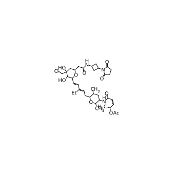 CCC(/C=C/C1O[C@H](CC(=O)NC2CC(N3C(=O)CCC3=O)C2)C[C@@](O)(CCl)[C@@H]1O)=C\CC1OC(C)C(NC(=O)/C=C\C(C)OC(C)=O)CC1C